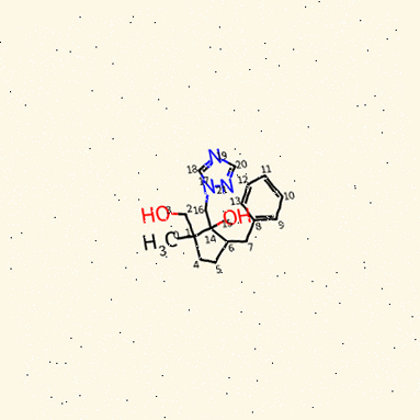 CC1(CO)CCC(Cc2ccccc2)C1(O)Cn1cncn1